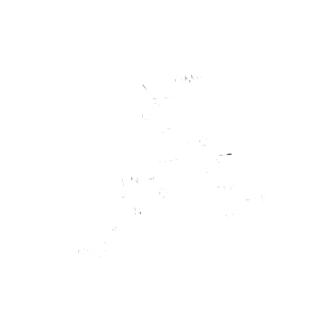 COC[C@H](C)Oc1cc(O[C@@H](C)Cc2cccc(F)c2)cc(C(=O)Nc2ccc(C(=O)O)cn2)c1